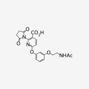 CC(=O)NCCOc1cccc(Oc2ccc(C(=O)O)c(N3C(=O)CCC3=O)n2)c1